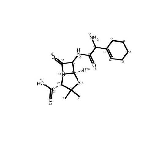 CC1(C)S[C@@H]2C(NC(=O)C(N)C3=CCCCC3)C(=O)N2[C@H]1C(=O)O